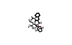 COC(=O)N(CC=O)CC(O)CN1[C@@H]2CC[C@H]1C[C@@H](NC(=O)c1cc3ccccc3n(C(C)C)c1=O)C2